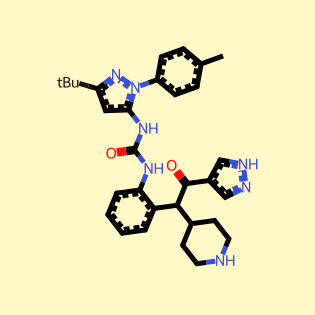 Cc1ccc(-n2nc(C(C)(C)C)cc2NC(=O)Nc2ccccc2C(C(=O)c2cn[nH]c2)C2CCNCC2)cc1